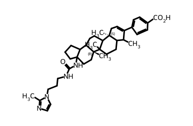 Cc1nccn1CCCNC(=O)NC12CCCC1C1CCC3C(C)(CCC4C(C)C(c5ccc(C(=O)O)cc5)=CC[C@@]43C)[C@]1(C)CC2